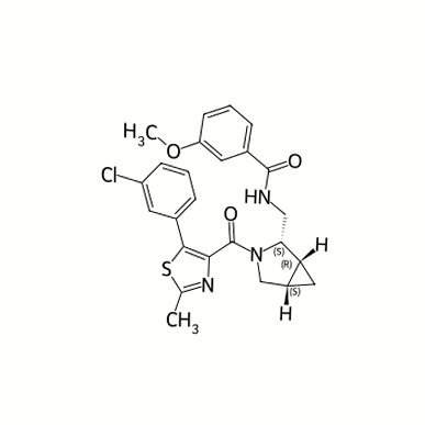 COc1cccc(C(=O)NC[C@@H]2[C@@H]3C[C@@H]3CN2C(=O)c2nc(C)sc2-c2cccc(Cl)c2)c1